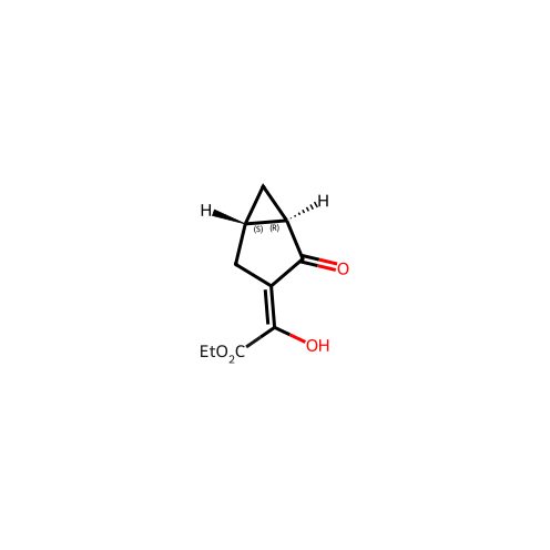 CCOC(=O)C(O)=C1C[C@@H]2C[C@H]2C1=O